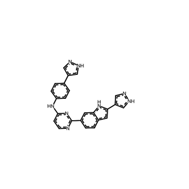 c1cc(Nc2ccc(-c3cn[nH]c3)cc2)nc(-c2ccc3cc(-c4cn[nH]c4)[nH]c3c2)n1